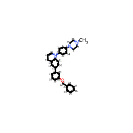 CN1CCN(c2ccc(N3C=CCc4cc(-c5cccc(OCc6ccccc6)c5)ccc43)cc2)CC1